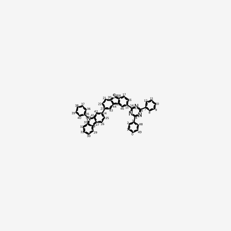 c1ccc(-c2nc(-c3ccccc3)nc(-c3ccc4sc5ccc(-c6ccc7c8ccccc8n(-c8ccccc8)c7c6)cc5c4c3)n2)cc1